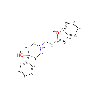 OC1(c2ccccc2)CCN(CCc2cc3ccccc3o2)CC1